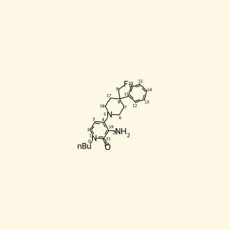 CCCCn1ccc(N2CCC(CF)(c3ccccc3)CC2)c(N)c1=O